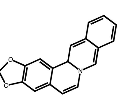 C1=CN2C=c3ccccc3=CC2c2cc3c(cc21)OCO3